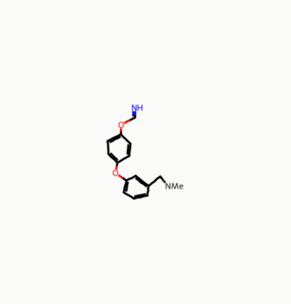 CNCc1cccc(Oc2ccc(OC=N)cc2)c1